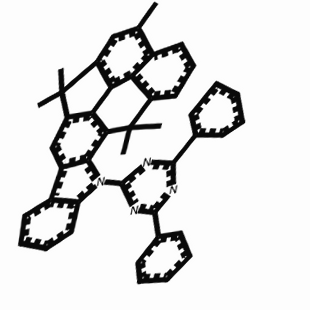 Cc1cc2c3c4c(cccc14)C(C)(C)c1c-3c(cc3c4ccccc4n(-c4nc(-c5ccccc5)nc(-c5ccccc5)n4)c13)C2(C)C